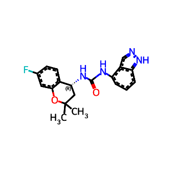 CC1(C)C[C@@H](NC(=O)Nc2cccc3[nH]ncc23)c2ccc(F)cc2O1